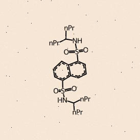 CCCC(CCC)NS(=O)(=O)c1cccc2c(S(=O)(=O)NC(CCC)CCC)cccc12